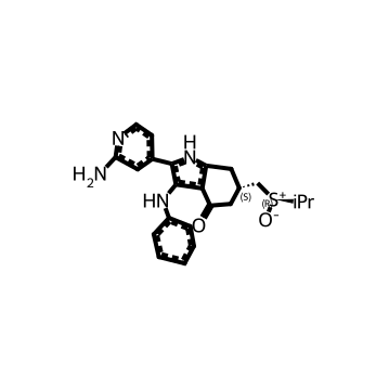 CC(C)[S@@+]([O-])C[C@@H]1CC(=O)c2c([nH]c(-c3ccnc(N)c3)c2Nc2ccccc2)C1